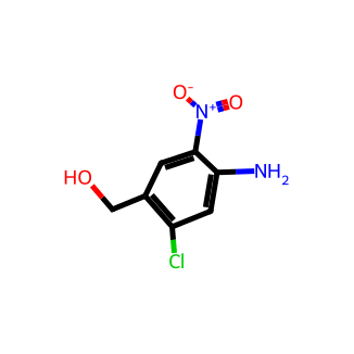 Nc1cc(Cl)c(CO)cc1[N+](=O)[O-]